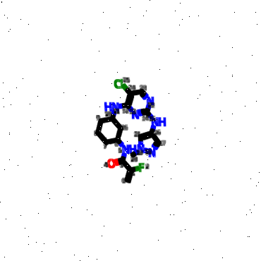 C=C(F)C(=O)NC1CCCC(Nc2nc(Nc3cnn(C)c3)ncc2Cl)C1